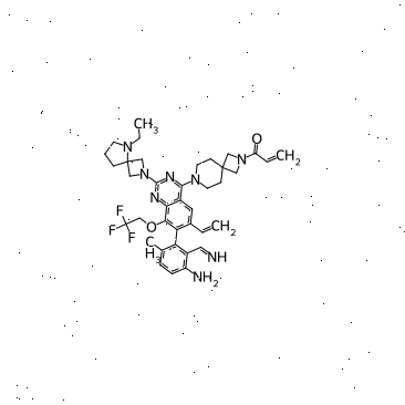 C=CC(=O)N1CC2(CCN(c3nc(N4CC5(CCCN5CC)C4)nc4c(OCC(F)(F)F)c(-c5c(C)ccc(N)c5C=N)c(C=C)cc34)CC2)C1